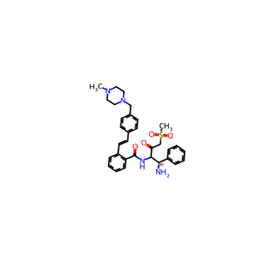 CN1CCN(Cc2ccc(C=Cc3ccccc3C(=O)NC(C(=O)CS(C)(=O)=O)[C@H](N)c3ccccc3)cc2)CC1